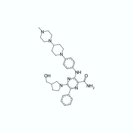 CN1CCN(C2CCN(c3ccc(Nc4nc(N5CCC(CO)C5)c(-c5ccccc5)nc4C(N)=O)cc3)CC2)CC1